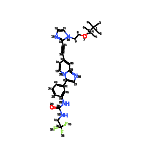 CC(C)(C)[Si](C)(C)OCCn1ccnc1C#Cc1ccn2c(-c3cccc(NC(=O)NCC(F)(F)F)c3)cnc2c1